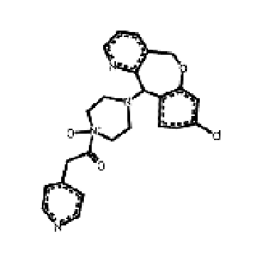 O=C(Cc1ccncc1)[N+]1([O-])CCN(C2c3ccc(Cl)cc3OCc3cccnc32)CC1